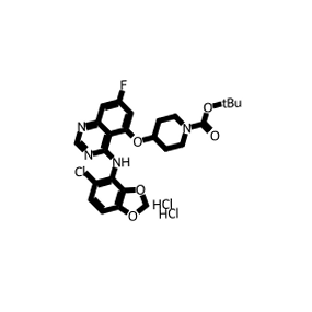 CC(C)(C)OC(=O)N1CCC(Oc2cc(F)cc3ncnc(Nc4c(Cl)ccc5c4OCO5)c23)CC1.Cl.Cl